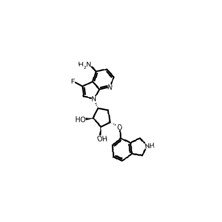 Nc1ccnc2c1c(F)cn2[C@@H]1C[C@H](Oc2cccc3c2CNC3)[C@@H](O)[C@H]1O